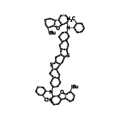 Cc1ccccc1N(c1ccc2cc3c(cc2c1)sc1cc2c(cc13)sc1cc3cc(N(c4ccccc4C)c4cccc5c4oc4c(C(C)(C)C)cccc45)ccc3cc12)c1cccc2c1oc1c(C(C)(C)C)cccc12